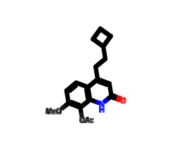 COc1ccc2c(CCC3CCC3)cc(=O)[nH]c2c1OC(C)=O